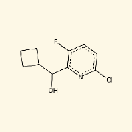 OC(c1nc(Cl)ccc1F)C1CCC1